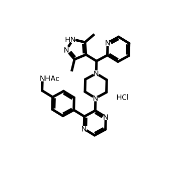 CC(=O)NCc1ccc(-c2nccnc2N2CCN(C(c3ccccn3)c3c(C)n[nH]c3C)CC2)cc1.Cl